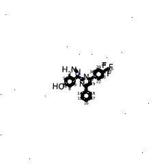 N/N=C(\c1ccc(O)cc1)c1nc(-c2ccccc2)cc(-c2ccc(C(F)(F)F)cc2)n1